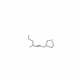 CCCC(C)/C=C/CN1CCSC1